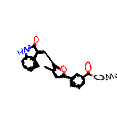 COC(=O)c1cccc(-c2cc(C)c(/C=C3/C(=O)Nc4ccccc43)o2)c1